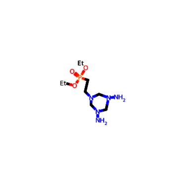 CCOP(=O)(CCN1CN(N)CN(N)C1)OCC